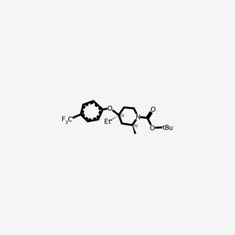 CC[C@]1(Oc2ccc(C(F)(F)F)cc2)CCN(C(=O)OC(C)(C)C)[C@@H](C)C1